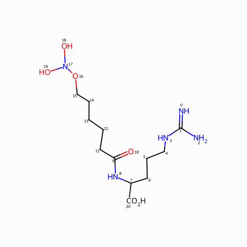 N=C(N)NCCCC(NC(=O)CCCCCON(O)O)C(=O)O